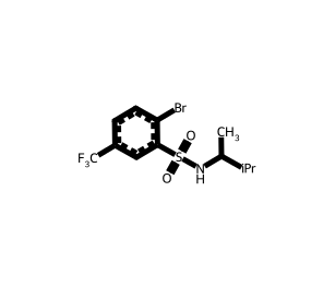 CC(C)C(C)NS(=O)(=O)c1cc(C(F)(F)F)ccc1Br